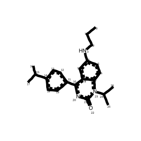 CCCNc1ccc2c(c1)c(-c1ccc(C(C)C)cc1)nc(=O)n2C(C)C